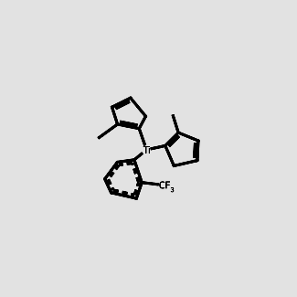 CC1=[C]([Ti]([C]2=C(C)C=CC2)[c]2ccccc2C(F)(F)F)CC=C1